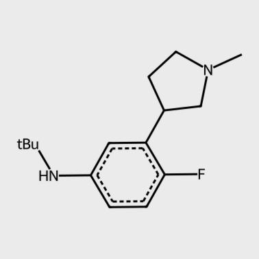 CN1CCC(c2cc(NC(C)(C)C)ccc2F)C1